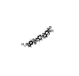 Cn1ccc2cc(S(=O)(=O)NCC3CCN(c4nccc(C=C5SC(=O)NC5=O)n4)CC3)ccc21